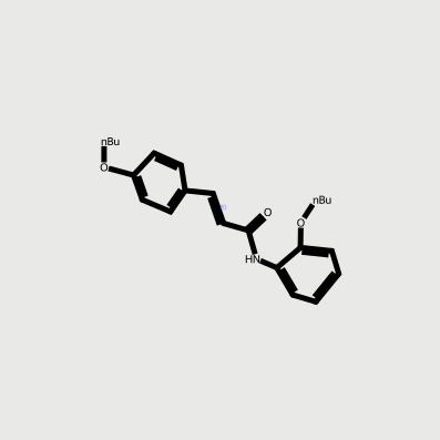 CCCCOc1ccc(/C=C/C(=O)Nc2ccccc2OCCCC)cc1